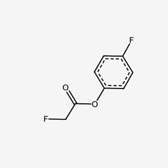 O=C(CF)Oc1ccc(F)cc1